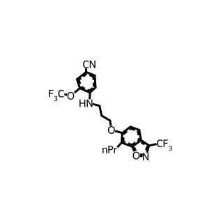 CCCc1c(OCCCNc2ccc(C#N)cc2OC(F)(F)F)ccc2c(C(F)(F)F)noc12